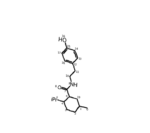 CC1CCC(C(C)C)C(C(=O)NCCc2ccc(O)cc2)C1